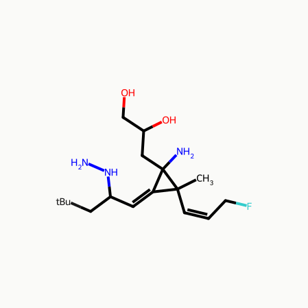 CC(C)(C)CC(/C=C1/C(C)(/C=C\CF)C1(N)CC(O)CO)NN